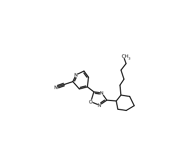 CCCCCC1CCCCC1c1noc(-c2ccnc(C#N)c2)n1